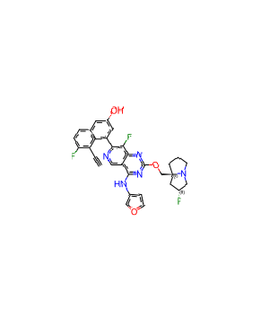 C#Cc1c(F)ccc2cc(O)cc(-c3ncc4c(Nc5ccoc5)nc(OC[C@@]56CCCN5C[C@H](F)C6)nc4c3F)c12